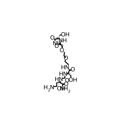 NC(=O)[C@H](CO)NC(=O)COCCOCCNC(=O)[C@@H](CO)NC(=O)N[C@H](CC(N)O)C(N)=O